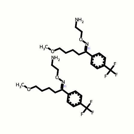 COCCCC/C(=N\OCCN)c1ccc(C(F)(F)F)cc1.COCCCC/C(=N\OCCN)c1ccc(C(F)(F)F)cc1